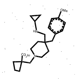 COc1ccc(CC2(CNC3CC3)CCN(CC3(C(=O)O)CCC3)CC2)cc1